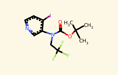 CC(C)(C)OC(=O)N(CC(F)(F)F)c1cnccc1I